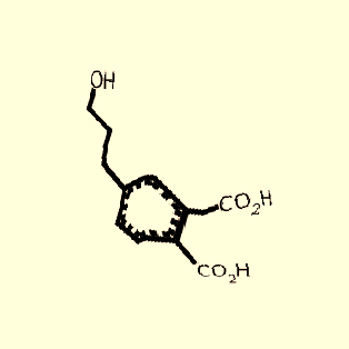 O=C(O)c1ccc(CCCO)cc1C(=O)O